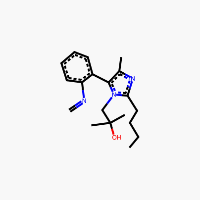 C=Nc1ccccc1-c1c(C)nc(CCCC)n1CC(C)(C)O